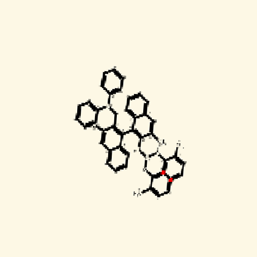 Cc1ccccc1OP(Oc1ccccc1C)Oc1c(C)cc2ccccc2c1-c1c(CP(c2ccccc2)c2ccccc2)c(C)cc2ccccc12